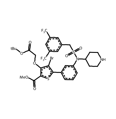 COC(=O)c1sc(-c2cccc(N(C3CCNCC3)S(=O)(=O)Cc3cc(C(F)(F)F)cc(C(F)(F)F)c3)c2)c(Br)c1OCC(=O)OC(C)(C)C